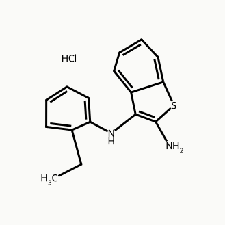 CCc1ccccc1Nc1c(N)sc2ccccc12.Cl